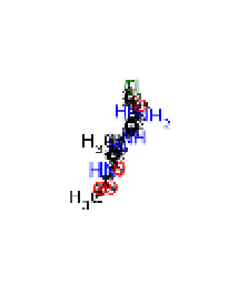 CCOC(=O)CCNC(=O)c1ccc2c(c1)nc(CNc1ccc(C(N)NC(=O)c3ccc(Cl)s3)cc1)n2C